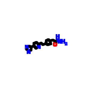 NNC(=O)Cc1ccc(CCc2ccc(-c3cncnc3)cn2)cc1